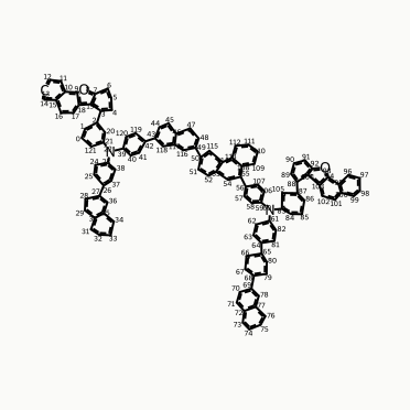 c1cc(-c2cccc3oc4c5ccccc5ccc4c23)cc(N(c2ccc(-c3ccc4ccccc4c3)cc2)c2ccc(-c3ccc4ccc(-c5ccc6cc(-c7ccc(N(c8ccc(-c9ccc(-c%10ccc%11ccccc%11c%10)cc9)cc8)c8cccc(-c9cccc%10oc%11c%12ccccc%12ccc%11c9%10)c8)cc7)c7ccccc7c6c5)cc4c3)cc2)c1